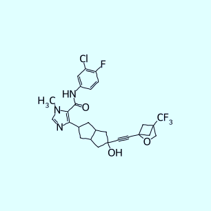 Cn1cnc(C2CC3CC(O)(C#CC45CC(C(F)(F)F)(CO4)C5)CC3C2)c1C(=O)Nc1ccc(F)c(Cl)c1